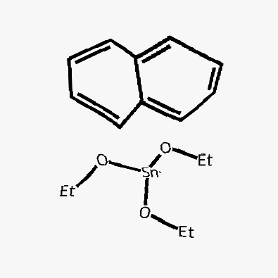 CC[O][Sn]([O]CC)[O]CC.c1ccc2ccccc2c1